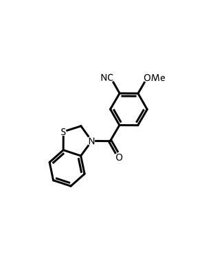 COc1ccc(C(=O)N2CSc3ccccc32)cc1C#N